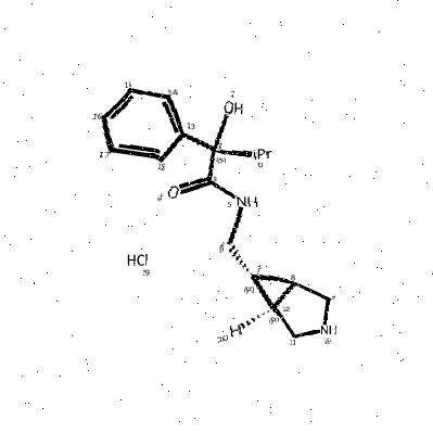 CC(C)[C@@](O)(C(=O)NC[C@@H]1C2CNC[C@H]21)c1ccccc1.Cl